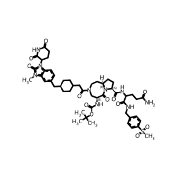 Cn1c(=O)n(C2CCC(=O)NC2=O)c2ccc(CC3CCC(CC(=O)N4CC[C@H]5CC[C@@H](C(=O)NC(CCC(N)=O)C(=O)NCc6ccc(S(C)(=O)=O)cc6)N5C(=O)[C@@H](NC(=O)OC(C)(C)C)C4)CC3)cc21